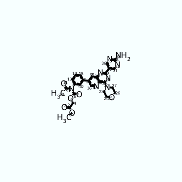 COC(=O)COC(=O)N(C(C)=O)c1cccc(-c2cnc3c(N4CCOCC4)nc(-c4cnc(N)nc4)nc3c2)c1